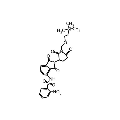 C[Si](C)(C)CCOCN1C(=O)CCC(N2C(=O)c3cccc(NS(=O)(=O)c4ccccc4[N+](=O)[O-])c3C2=O)C1=O